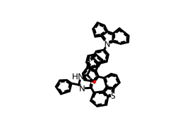 c1ccc(C2=NC(c3cccc4sc5cccc(-c6cccc7sc8cc(-n9c%10ccccc%10c%10ccccc%109)ccc8c67)c5c34)=NC(c3ccccc3)N2)cc1